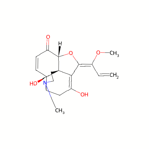 C=C/C(OC)=C1/O[C@H]2C(=O)C=C[C@@]3(O)C4CC(O)=C1[C@@]23CCN4C